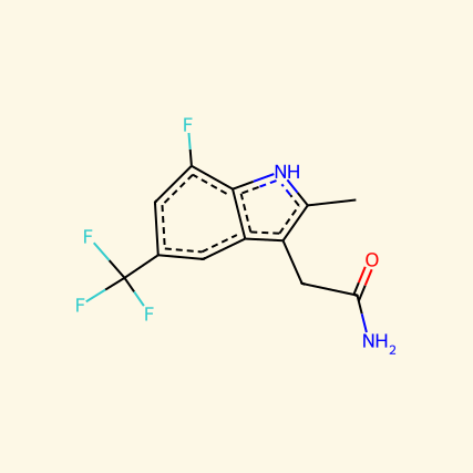 Cc1[nH]c2c(F)cc(C(F)(F)F)cc2c1CC(N)=O